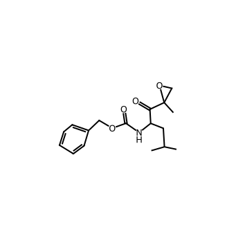 CC(C)CC(NC(=O)OCc1ccccc1)C(=O)C1(C)CO1